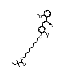 CCC(C)(C)C(=O)OCCCCCCCCOc1ccc(/C=C(\C#N)c2ccccc2OC)cc1OC